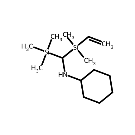 C=C[Si](C)(C)C(NC1CCCCC1)[Si](C)(C)C